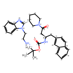 CC(C)(C)OC(=O)N[C@@H](CC(=O)N1CCC[C@@H](c2nc3ccccc3n2CCN)C1)Cc1ccc2ccccc2c1